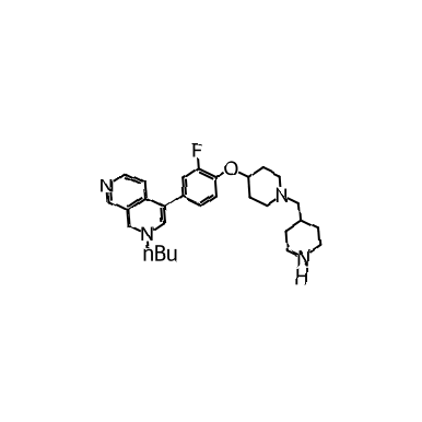 CCCCN1C=C(c2ccc(OC3CCN(CC4CCNCC4)CC3)c(F)c2)c2ccncc2C1